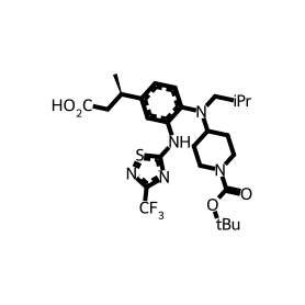 CC(C)CN(c1ccc([C@H](C)CC(=O)O)cc1Nc1nc(C(F)(F)F)ns1)C1CCN(C(=O)OC(C)(C)C)CC1